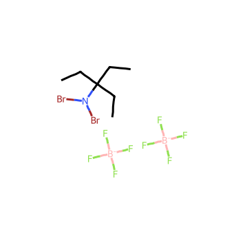 CCC(CC)(CC)N(Br)Br.F[B-](F)(F)F.F[B-](F)(F)F